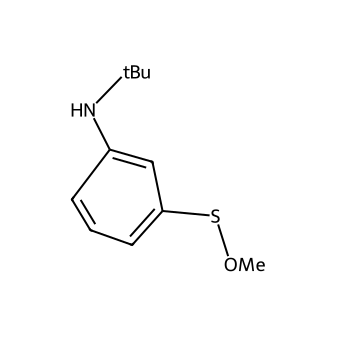 COSc1cccc(NC(C)(C)C)c1